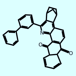 O=C1c2ccc3c4c(c(-c5cccc(-c6ccccc6)c5)nc3c2C(=O)C2C=CC=CC12)C1CCC4C1